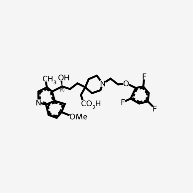 COc1ccc2ncc(C)c([C@@H](O)CCC3(CC(=O)O)CCN(CCOc4c(F)cc(F)cc4F)CC3)c2c1